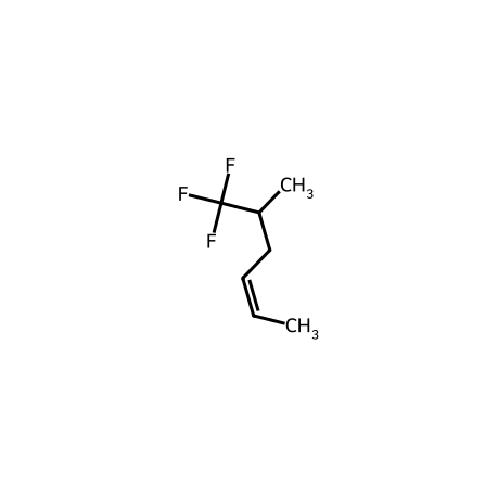 C/C=C\CC(C)C(F)(F)F